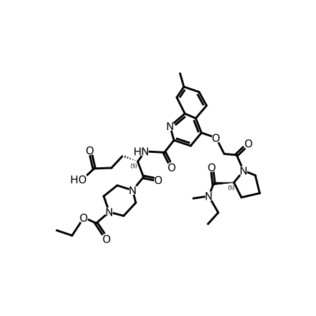 CCOC(=O)N1CCN(C(=O)[C@H](CCC(=O)O)NC(=O)c2cc(OCC(=O)N3CCC[C@H]3C(=O)N(C)CC)c3ccc(C)cc3n2)CC1